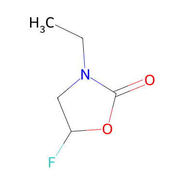 CCN1CC(F)OC1=O